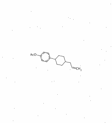 C=CCC1CCC(c2ccc(OC(C)=O)cc2)CC1